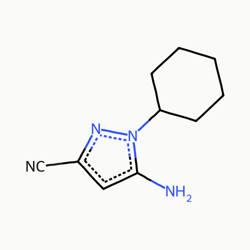 N#Cc1cc(N)n(C2CCCCC2)n1